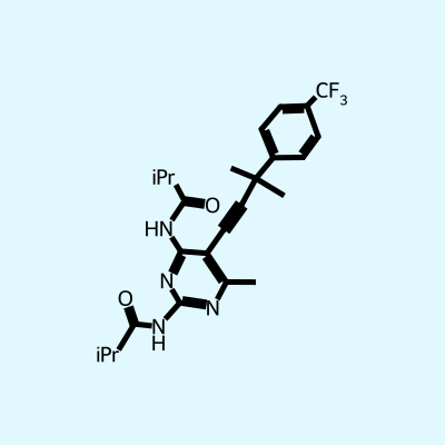 Cc1nc(NC(=O)C(C)C)nc(NC(=O)C(C)C)c1C#CC(C)(C)c1ccc(C(F)(F)F)cc1